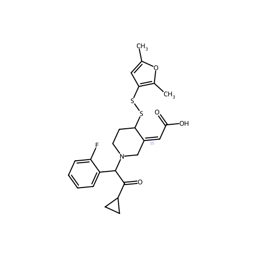 Cc1cc(SSC2CCN(C(C(=O)C3CC3)c3ccccc3F)C/C2=C/C(=O)O)c(C)o1